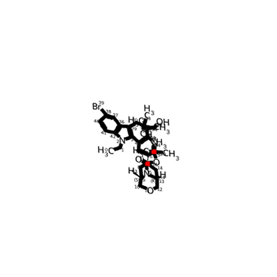 CCn1c(-c2cc([C@H]3C[C@H]4COC[C@@H](C3)N4C(=O)OC(C)(C)C)cnc2C(C)C)c(CC(C)(C)CO)c2cc(Br)ccc21